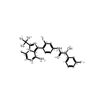 [2H]C([2H])([2H])c1nc(-c2ccc(NC(=O)[C@@H](O)c3cccc(F)c3)cc2F)c2c(N)ncc(C)n12